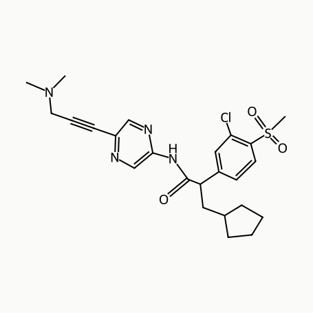 CN(C)CC#Cc1cnc(NC(=O)C(CC2CCCC2)c2ccc(S(C)(=O)=O)c(Cl)c2)cn1